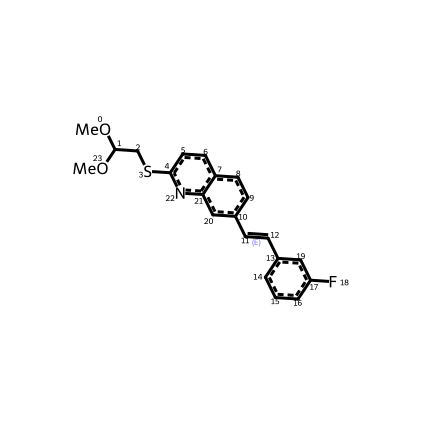 COC(CSc1ccc2ccc(/C=C/c3cccc(F)c3)cc2n1)OC